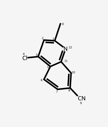 Cc1cc(Cl)c2ccc(C#N)cc2n1